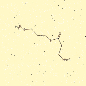 CCCCCCCC(=O)SCCCS[SiH3]